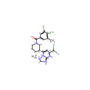 Cc1cc(C(=O)N2CC[C@@H](C)[C@H](c3cc(C(F)F)nc4ncnn34)C2)cc(F)c1F